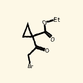 CCOC(=O)C1(C(=O)CBr)CC1